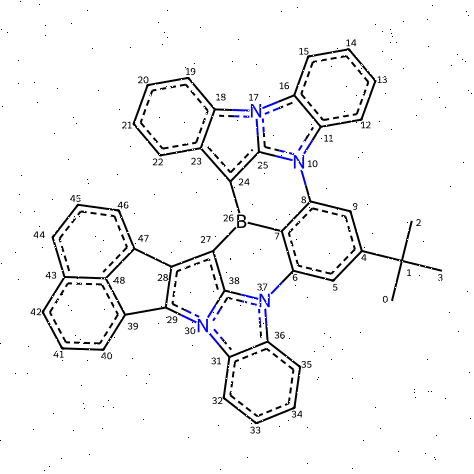 CC(C)(C)c1cc2c3c(c1)-n1c4ccccc4n4c5ccccc5c(c14)B3c1c3c(n4c5ccccc5n-2c14)-c1cccc2cccc-3c12